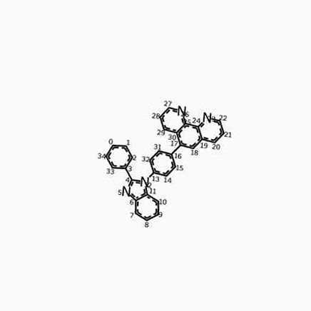 c1ccc(-c2nc3ccccc3n2-c2ccc(-c3cc4cccnc4c4ncccc34)cc2)cc1